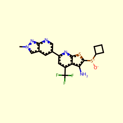 Cn1cc2cc(-c3cc(C(F)(F)F)c4c(N)c([S@@+]([O-])C5CCC5)sc4n3)cnc2n1